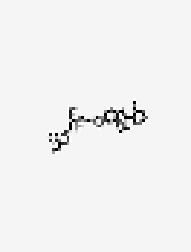 C=CC(=O)OCCCC(F)(F)CCCOc1ccc2cc(-c3ccccc3CC)n(C(C)C)c2c1